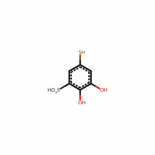 O=S(=O)(O)c1cc(S)cc(O)c1O